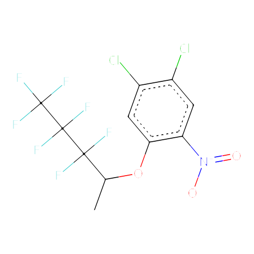 CC(Oc1cc(Cl)c(Cl)cc1[N+](=O)[O-])C(F)(F)C(F)(F)C(F)(F)F